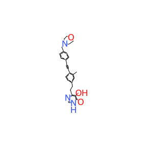 Cc1cc(CCc2nc[nH]c(=O)c2O)ccc1C#Cc1ccc(CN2CCOCC2)cc1